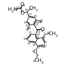 CCOc1ncc(CC)c2c(C(=O)c3c(F)cc(C(C)OC(N)=O)cc3F)cccc12